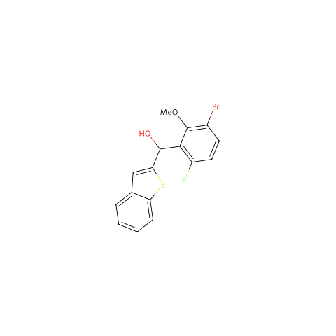 COc1c(Br)ccc(F)c1C(O)c1cc2ccccc2s1